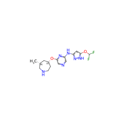 C[C@H]1CNCC[C@@H](Oc2cncc(Nc3cc(OC(F)F)[nH]n3)n2)C1